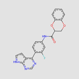 O=C(Nc1ccc(-c2ncnc3[nH]ccc23)c(F)c1)C1COc2ccccc2O1